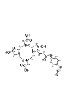 [N-]=[N+]=Nc1ccc(NC(=O)CCC(C(=O)O)N2CCN(CC(=O)O)CCN(CC(=O)O)CCN(CC(=O)O)CC2)cc1